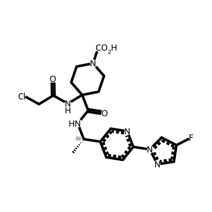 C[C@H](NC(=O)C1(NC(=O)CCl)CCN(C(=O)O)CC1)c1ccc(-n2cc(F)cn2)nc1